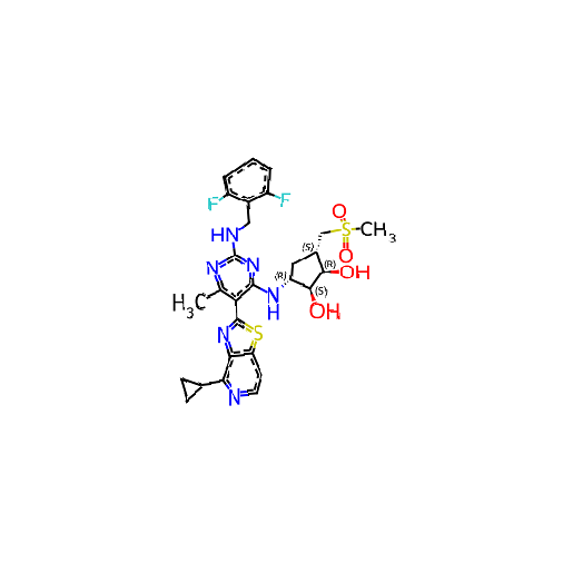 Cc1nc(NCc2c(F)cccc2F)nc(N[C@@H]2C[C@H](CS(C)(=O)=O)[C@@H](O)[C@H]2O)c1-c1nc2c(C3CC3)nccc2s1